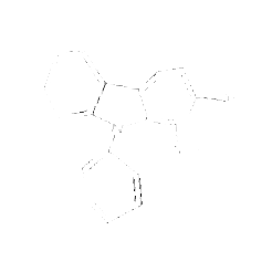 Nc1c(Br)ccc2c3ccccc3n(-c3ccccc3)c12